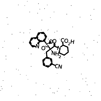 N#Cc1cccc(C[C@](N)(C(=O)N2CCCCC2C(=O)O)S(=O)(=O)c2cccc3cccnc23)c1